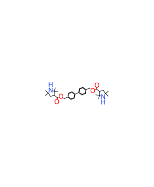 CC1(C)CC(C(=O)OCc2ccc(-c3ccc(COC(=O)C4CC(C)(C)NC4(C)C)cc3)cc2)C(C)(C)N1